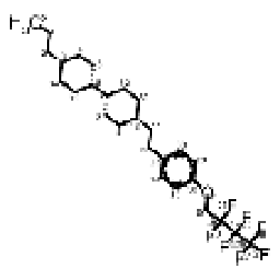 CCC[C@H]1CC[C@H]([C@H]2CC[C@H](CCc3ccc(OCC(F)(F)C(F)(F)C(F)(F)F)cc3)CC2)CC1